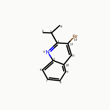 CC(C)c1nc2ccccc2cc1Br